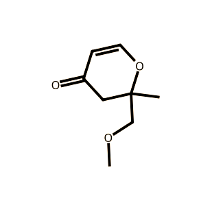 COCC1(C)CC(=O)C=CO1